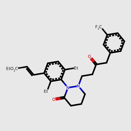 CCOC(=O)C=Cc1ccc(CC)c(N2C(=O)CCCN2CCC(=O)Cc2cccc(C(F)(F)F)c2)c1CC